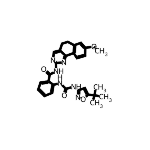 COc1ccc2c(c1)CCc1cnc(NC(=O)c3ccccc3NC(=O)Nc3cc(C(C)(C)C)on3)nc1-2